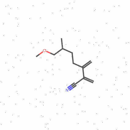 C=C(C#N)C(=C)CCC(C)COC